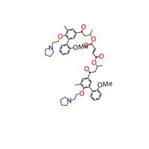 COc1ccccc1-c1cc(C(=O)CC(C)OC(=O)/C=C/C(=O)OC(C)CC(=O)c2cc(C)c(OCCN3CCCC3)c(-c3ccccc3OC)c2)cc(C)c1OCCN1CCCC1